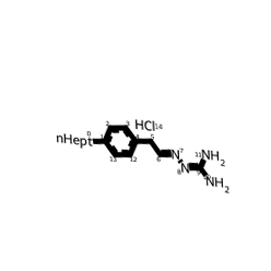 CCCCCCCc1ccc(CC=NN=C(N)N)cc1.Cl